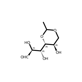 CC1OC[C@@H](O)[C@H]([C@H](O)[C@H](O)C=O)O1